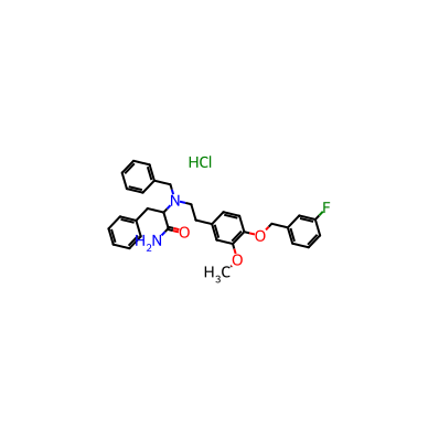 COc1cc(CCN(Cc2ccccc2)C(Cc2ccccc2)C(N)=O)ccc1OCc1cccc(F)c1.Cl